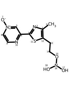 Cc1nc(-c2c[n+]([O-])ccn2)sc1CCON(O)O